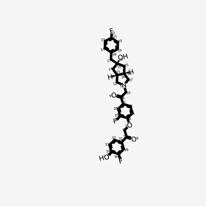 O=C(COc1ccc(C(=O)CN2C[C@@H]3C[C@](O)(Cc4ccc(F)cc4)C[C@@H]3C2)cc1F)c1ccc(O)c(F)c1